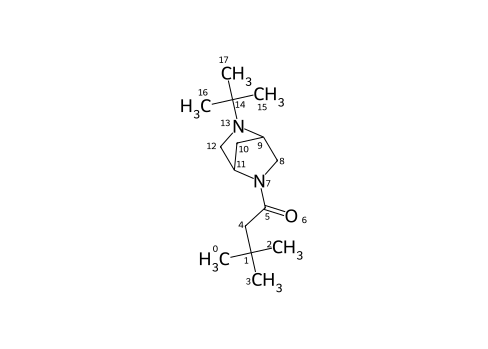 CC(C)(C)CC(=O)N1CC2CC1CN2C(C)(C)C